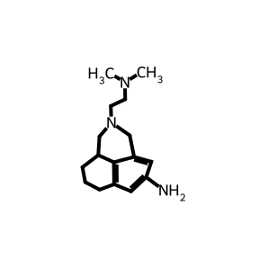 CN(C)CCN1Cc2cc(N)cc3c2C(CCC3)C1